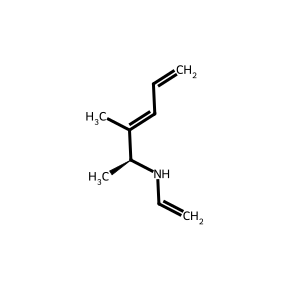 C=C/C=C(\C)[C@H](C)NC=C